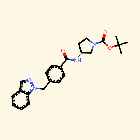 CC(C)(C)OC(=O)N1CC[C@@H](NC(=O)c2ccc(Cn3ncc4ccccc43)cc2)C1